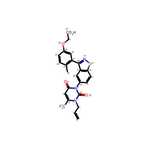 C=CCn1c(C(F)(F)F)cc(=O)n(-c2ccc3snc(-c4cc(OCC(=O)O)ccc4C)c3c2)c1=O